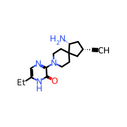 C#C[C@H]1C[C@@H](N)C2(CCN(c3ncc(CC)[nH]c3=O)CC2)C1